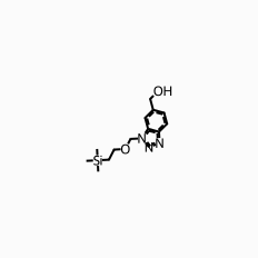 C[Si](C)(C)CCOCn1nnc2ccc(CO)cc21